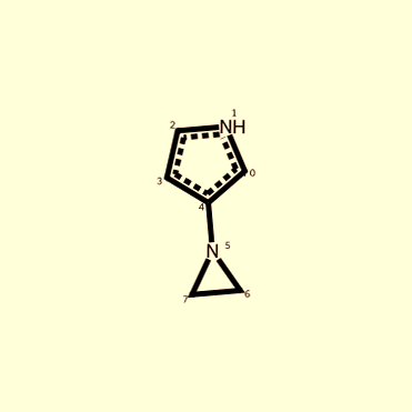 [c]1[nH]ccc1N1CC1